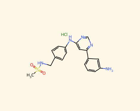 CS(=O)(=O)NCc1ccc(Nc2cc(-c3cccc(N)c3)ncn2)cc1.Cl